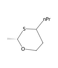 CCCC1CCO[C@H](C)S1